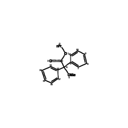 CCCOC(=O)C(OC)(c1ccccc1)c1ccccc1